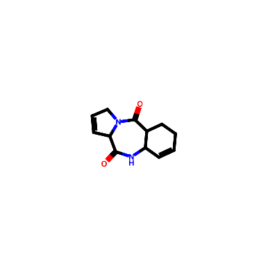 O=C1NC2C=CCCC2C(=O)N2CC=CC12